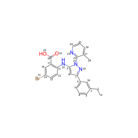 CCc1cccc(-c2cc(Nc3ccc(Br)cc3C(=O)O)n(-c3ncccc3C)n2)c1